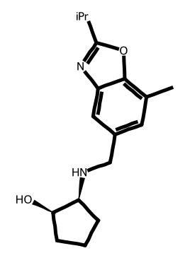 Cc1cc(CN[C@H]2CCC[C@H]2O)cc2nc(C(C)C)oc12